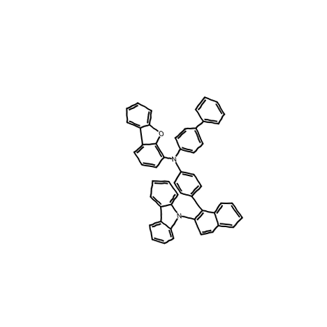 c1ccc(-c2ccc(N(c3ccc(-c4c(-n5c6ccccc6c6ccccc65)ccc5ccccc45)cc3)c3cccc4c3oc3ccccc34)cc2)cc1